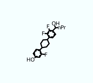 CCCC(O)c1ccc(C2CCC(c3ccc(O)cc3F)CC2)c(F)c1F